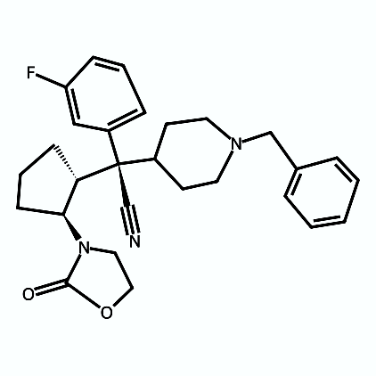 N#C[C@@](c1cccc(F)c1)(C1CCN(Cc2ccccc2)CC1)[C@H]1CCC[C@@H]1N1CCOC1=O